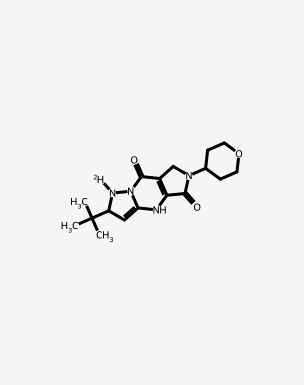 [2H]N1C(C(C)(C)C)C=C2NC3=C(CN(C4CCOCC4)C3=O)C(=O)N21